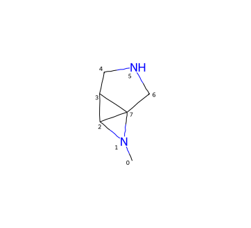 CN1C2C3CNCC321